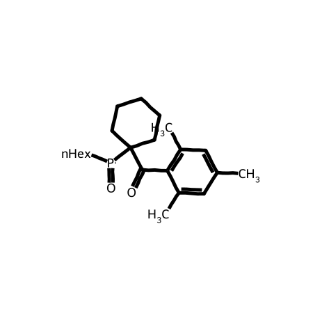 CCCCCC[P](=O)C1(C(=O)c2c(C)cc(C)cc2C)CCCCC1